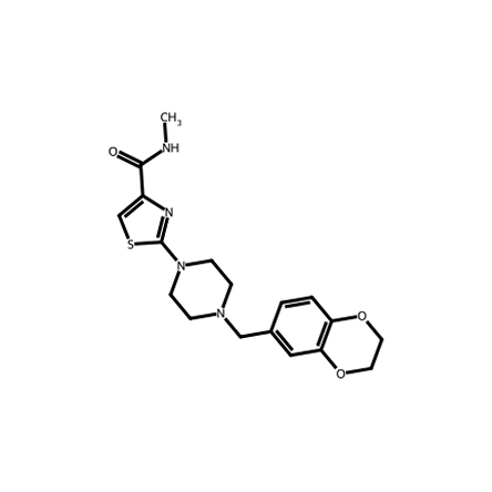 CNC(=O)c1csc(N2CCN(Cc3ccc4c(c3)OCCO4)CC2)n1